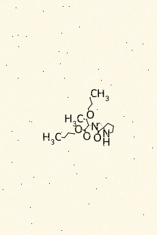 CCCCOC(=O)[C@H]([C@@H](C)OCCCC)N1C[C@@]2(CCCN2)C1=O